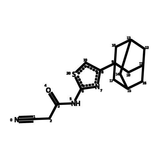 N#CCC(=O)Nc1nc(C23CC4CC(CC(C4)C2)C3)cs1